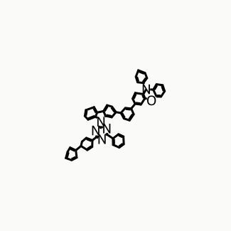 C1=CC(c2ccccc2)CC=C1c1nc(-c2ccccc2)nc(-n2c3ccccc3c3ccc(-c4cccc(-c5ccc6c(c5)Oc5ccccc5N6c5ccccc5)c4)cc32)n1